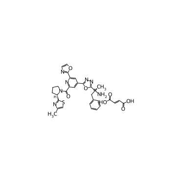 Cc1csc([C@H]2CCCN2C(=O)c2cc(-c3nnc([C@](C)(N)Cc4ccccc4)o3)cc(-c3ncco3)n2)n1.O=C(O)C=CC(=O)O